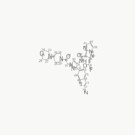 N#Cc1cc2cc(OC(F)F)c(-c3nn(CC(=O)N4CCC(N5CCOCC5)CC4)cc3NC(=O)c3cnn4cccnc34)cc2s1